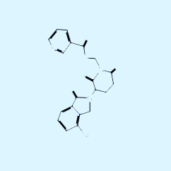 Nc1cccc2c1CN(C1CCC(=O)N(COC(=O)c3cccnc3)C1=O)C2=O